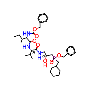 CCC(C)C(NC(=O)OCc1ccccc1)C(=O)N[C@H](C(=O)NC[C@H](O)CP(=O)(CC1CCCCC1)OCc1ccccc1)C(C)C